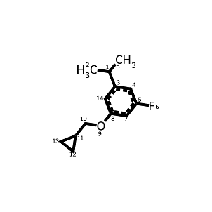 CC(C)c1cc(F)cc(OCC2CC2)c1